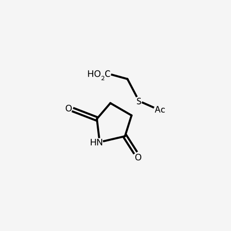 CC(=O)SCC(=O)O.O=C1CCC(=O)N1